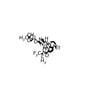 CCN1CCCN(C(=O)Nc2cnc(OC[C@H]3COC(C)(C)O3)cn2)c2nc(C(=O)N[C@H](C)C(F)(F)F)ccc21